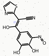 N#C/C(=C(/O)c1cc(O)c(O)c(N=O)c1)c1nccs1